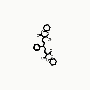 O=C1OC2(CCCCC2)OC(=O)C1=CCC(C=CC1=C(O)OC2(CCCCC2)OC1=O)c1ccccc1